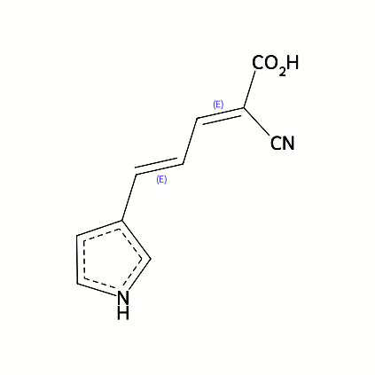 N#C/C(=C\C=C\c1cc[nH]c1)C(=O)O